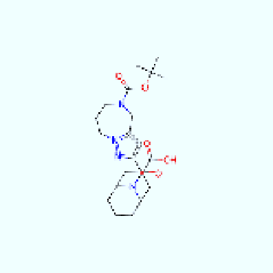 CC(C)(C)OC(=O)N1CCCn2nc(C(=O)N3C4CCCC3CC(C(=O)O)C4)cc2C1